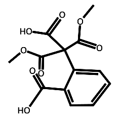 COC(=O)C(C(=O)O)(C(=O)OC)c1ccccc1C(=O)O